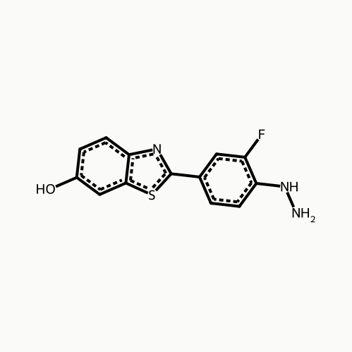 NNc1ccc(-c2nc3ccc(O)cc3s2)cc1F